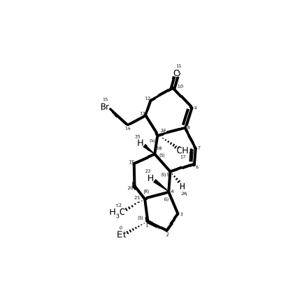 CC[C@H]1CC[C@H]2[C@@H]3C=CC4=CC(=O)CC(CBr)[C@]4(C)[C@H]3CC[C@]12C